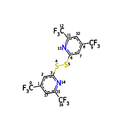 FC(F)(F)c1cc(SSc2cc(C(F)(F)F)cc(C(F)(F)F)n2)nc(C(F)(F)F)c1